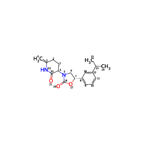 C=C1CCC(N2C[C@H](c3cccc(C(C)C)c3)OC2=O)C(=O)N1